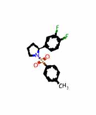 Cc1ccc(S(=O)(=O)N2CCC[C@H]2c2ccc(F)c(F)c2)cc1